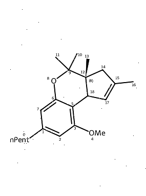 CCCCCc1cc(OC)c2c(c1)OC(C)(C)[C@]1(C)CC(C)=CC21